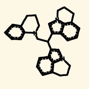 c1ccc2c(c1)CCCN2CC(c1cn2c3c(cccc13)CCC2)c1cn2c3c(cccc13)CCC2